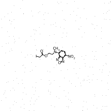 CN(CCOC(=O)CI)c1ccc([N+](=O)[O-])c2nonc12